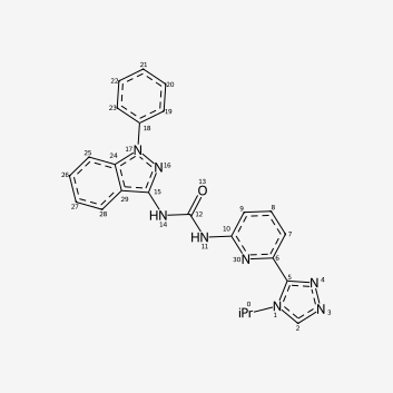 CC(C)n1cnnc1-c1cccc(NC(=O)Nc2nn(-c3ccccc3)c3ccccc23)n1